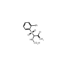 C=C(Cl)C(NC(=O)O)S(=O)(=O)c1ccccc1C(C)C